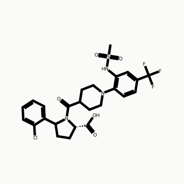 CS(=O)(=O)Nc1cc(C(F)(F)F)ccc1N1CCC(C(=O)N2C(c3ccccc3Cl)CC[C@H]2C(=O)O)CC1